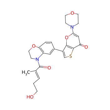 C/C(=C\CCO)C(=O)N1CCOc2ccc(-c3csc4c(=O)cc(N5CCOCC5)oc34)cc21